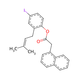 CC(C)=CCc1cc(I)ccc1OC(=O)Cc1cccc2ccccc12